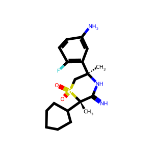 C[C@@]1(c2cc(N)ccc2F)CS(=O)(=O)[C@@](C)(C2CCCCC2)C(=N)N1